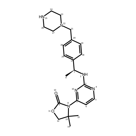 C[C@H](Nc1nccc(N2C(=O)OCC2(C)C)n1)c1ccc(CN2CCNCC2)cc1